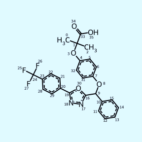 CC(C)(Oc1ccc(OC(c2ccccc2)c2nnc(-c3ccc(C(F)(F)F)cc3)o2)cc1)C(=O)O